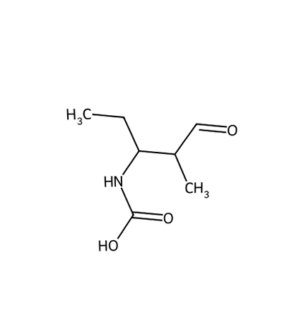 CCC(NC(=O)O)C(C)C=O